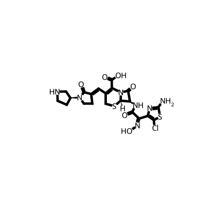 Nc1nc(/C(=N/O)C(=O)N[C@@H]2C(=O)N3C(C(=O)O)=C(/C=C4\CCN([C@H]5CCNC5)C4=O)CS[C@H]23)c(Cl)s1